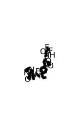 CCN(CCn1c2nccnc2c(=O)n1C)c1ccc(N2C[C@H](CNC(=O)C(F)F)OC2=O)cc1F